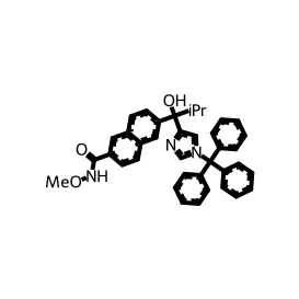 CONC(=O)c1ccc2cc(C(O)(c3cn(C(c4ccccc4)(c4ccccc4)c4ccccc4)cn3)C(C)C)ccc2c1